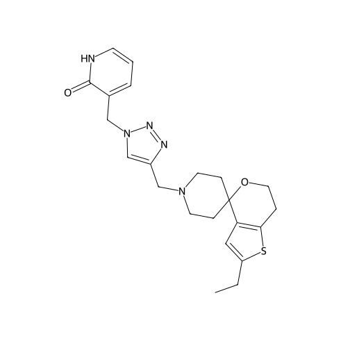 CCc1cc2c(s1)CCOC21CCN(Cc2cn(Cc3ccc[nH]c3=O)nn2)CC1